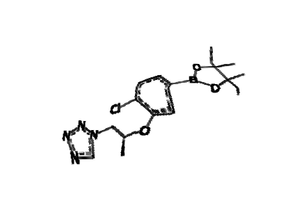 C[C@@H](Cn1cnnn1)Oc1cc(B2OC(C)(C)C(C)(C)O2)ccc1Cl